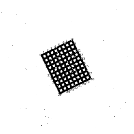 C1C2C3C4C5C6C7C8CC9C%10C%11C%12C%13C%14C%15C%16C%17CC%18C%19C%20C%21C%22C%23C%24CC%25C%26C%27C%28C%29C%30C%31C%32C1C21C32C43C54C65C76C89C%107C%118C%129C%13%10C%14%11C%15%12C%16%13C%18%17C%19%14C%20%15C%21%16C%22%17C%23%18C%24%25C%26%19C%27%20C%28%21C%29%22C%30%23C%31%24C%321C21C32C43C54C67C85C96C%107C%118C%129C%14%13C%15%10C%16%11C%17%12C%18%19C%20%13C%21%14C%22%15C%23%16C%241C21C32C45C63C74C85C%109C%116C%12%13C%147C%158C%161C23C84C675